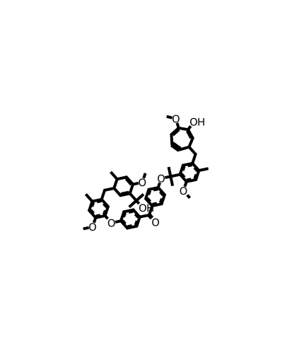 COC1=CC#CC(Cc2cc(C(C)(C)Oc3ccc(C(=O)c4ccc(Oc5cc(CC6C=C(C(C)(C)O)C(OC)=CC6C)c(C)cc5OC)cc4)cc3)c(OC)cc2C)C=C1O